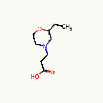 CCC1CN(CCC(=O)O)CCO1